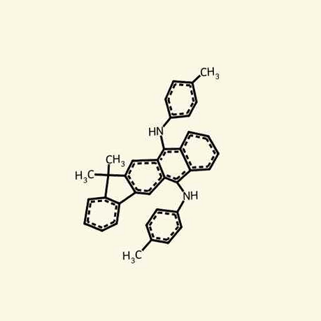 Cc1ccc(Nc2c3ccccc3c(Nc3ccc(C)cc3)c3cc4c(cc23)-c2ccccc2C4(C)C)cc1